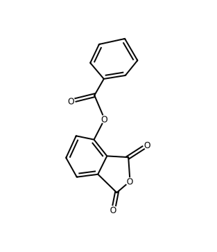 O=C(Oc1cccc2c1C(=O)OC2=O)c1ccccc1